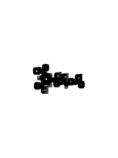 O=C(Cl)COCC(=O)Cl.O=C(Cl)c1cc(C(=O)Cl)cc(C(=O)Cl)c1